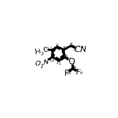 Cc1cc(CC#N)c(OC(F)F)cc1[N+](=O)[O-]